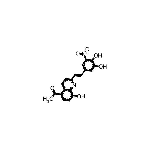 CC(=O)c1ccc(O)c2nc(C=Cc3cc(O)c(O)c([N+](=O)[O-])c3)ccc12